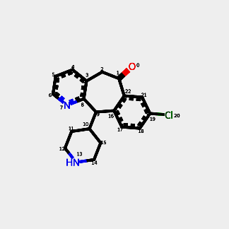 O=C1Cc2cccnc2C(C2CCNCC2)c2ccc(Cl)cc21